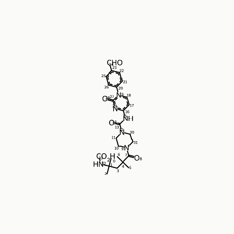 CC(C)(CC(C)(C)C(=O)N1CCN(C(=O)Nc2ccn(-c3ccc(C=O)cc3)c(=O)n2)CC1)NC(=O)O